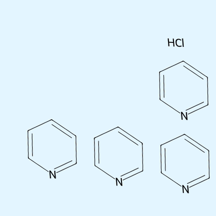 Cl.c1ccncc1.c1ccncc1.c1ccncc1.c1ccncc1